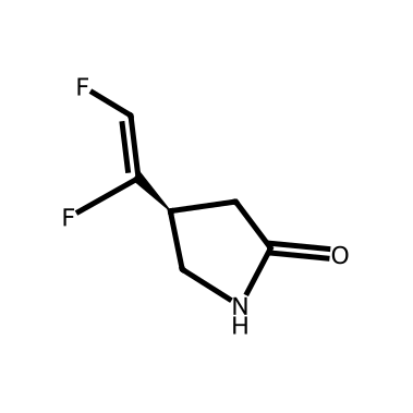 O=C1C[C@H](C(F)=CF)CN1